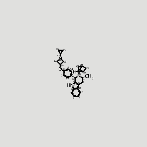 C[C@@H]1Cc2c([nH]c3ccccc23)[C@@H](c2ccc(OC3CN(C4CC4)C3)cc2)N1[C@@H]1CC2CC1C2